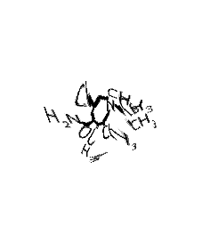 C/C1=C/N(C(C)C)C(C)/C=C(Cl)\C=C(\C(N)=O)C1C